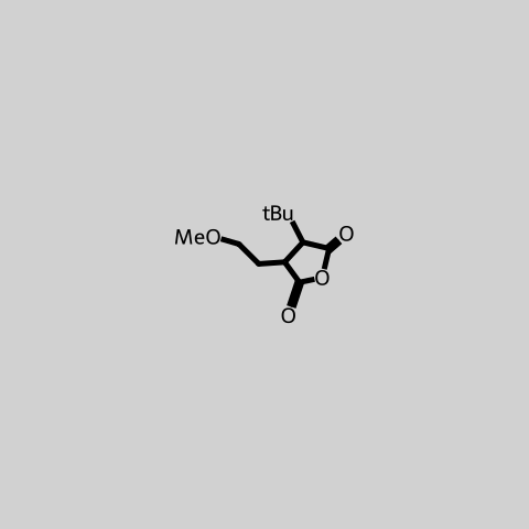 COCCC1C(=O)OC(=O)C1C(C)(C)C